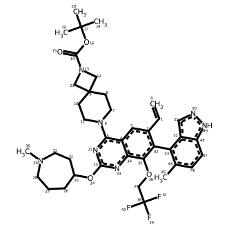 C=Cc1cc2c(N3CCC4(CC3)CN(C(=O)OC(C)(C)C)C4)nc(OC3CCCN(C)CC3)nc2c(OCC(F)(F)F)c1-c1c(C)ccc2[nH]ncc12